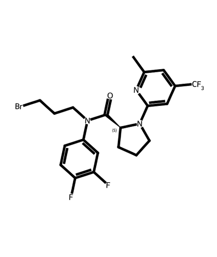 Cc1cc(C(F)(F)F)cc(N2CCC[C@H]2C(=O)N(CCCBr)c2ccc(F)c(F)c2)n1